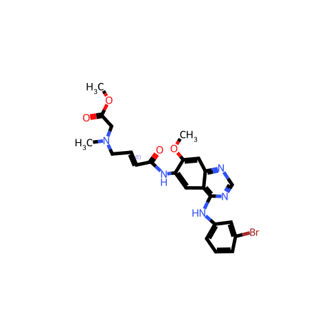 COC(=O)CN(C)C/C=C/C(=O)Nc1cc2c(Nc3cccc(Br)c3)ncnc2cc1OC